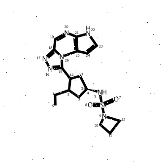 CCC1C[C@H](NS(=O)(=O)N2CCC2)CC1c1nnc2cnc3[nH]ccc3n12